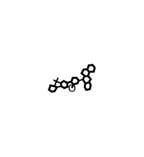 CC1(C)c2ccccc2-c2cc3oc4cc(-c5c6ccccc6cc6c5ccc5ccccc56)ccc4c3cc21